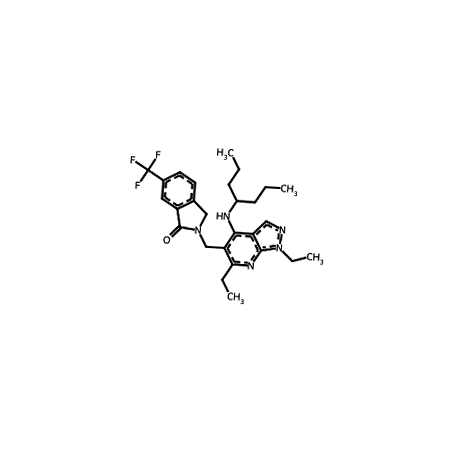 CCCC(CCC)Nc1c(CN2Cc3ccc(C(F)(F)F)cc3C2=O)c(CC)nc2c1cnn2CC